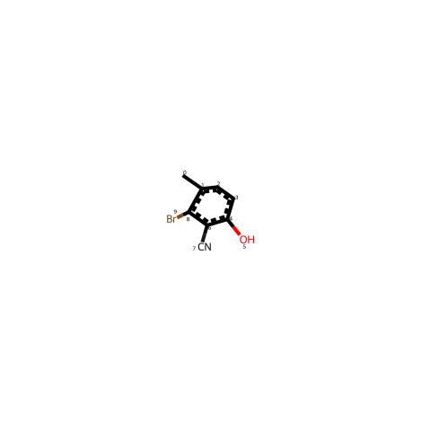 Cc1ccc(O)c(C#N)c1Br